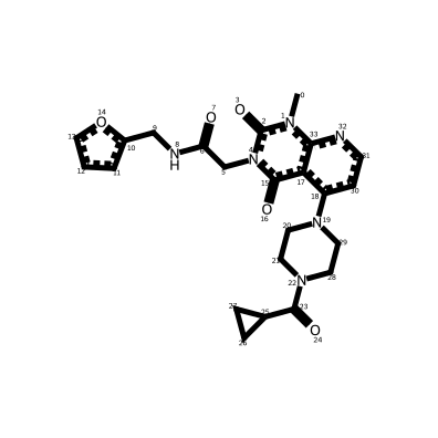 Cn1c(=O)n(CC(=O)NCc2ccco2)c(=O)c2c(N3CCN(C(=O)C4CC4)CC3)ccnc21